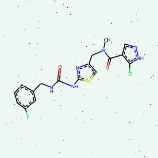 CN(Cc1csc(NC(=O)NCc2cccc(F)c2)n1)C(=O)c1cn[nH]c1Cl